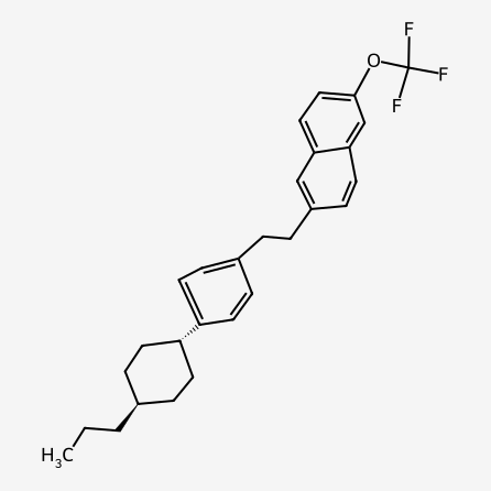 CCC[C@H]1CC[C@H](c2ccc(CCc3ccc4cc(OC(F)(F)F)ccc4c3)cc2)CC1